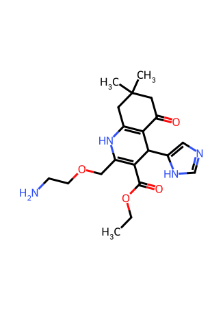 CCOC(=O)C1=C(COCCN)NC2=C(C(=O)CC(C)(C)C2)C1c1cnc[nH]1